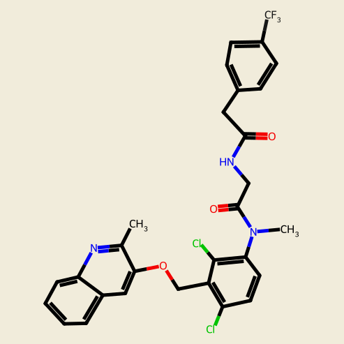 Cc1nc2ccccc2cc1OCc1c(Cl)ccc(N(C)C(=O)CNC(=O)Cc2ccc(C(F)(F)F)cc2)c1Cl